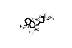 CC[C@H](C[C@H](O)CN1C[C@H]2CCCC(C)[C@H]2C[C@H]1C(C)=O)C(C)=O